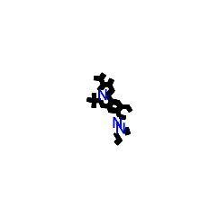 C=CCN(C=C)/N=C(\C)c1cc2c(cc1CC)C1=CC(=C)C(C(=C)C)=CN1C(C(C)(C)C)C2